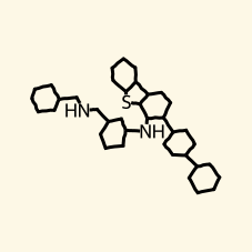 C1CCC(CNCC2CCCC(NC3C(C4CCC(C5CCCCC5)CC4)CCC4C5CCCCC5SC43)C2)CC1